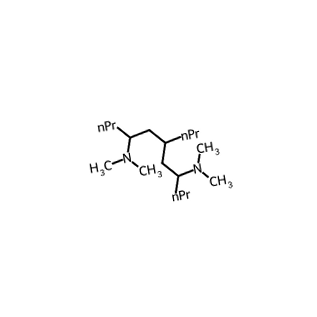 CCCC(CC(CCC)N(C)C)CC(CCC)N(C)C